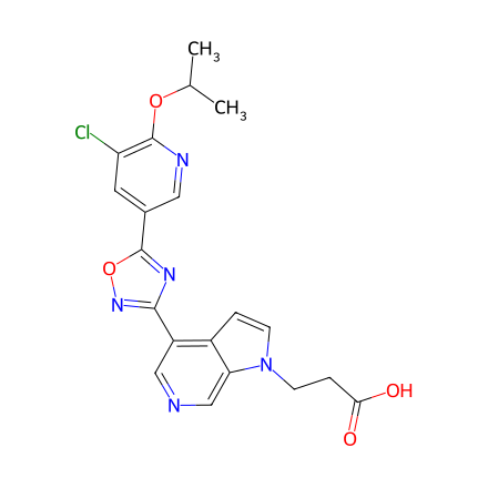 CC(C)Oc1ncc(-c2nc(-c3cncc4c3ccn4CCC(=O)O)no2)cc1Cl